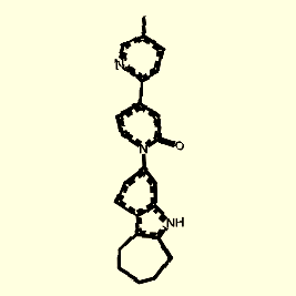 Cc1ccc(-c2ccn(-c3ccc4c5c([nH]c4c3)CCCCC5)c(=O)c2)nc1